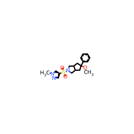 COC1(c2ccccc2)CC2CN(S(=O)(=O)c3cnn(C)c3)CC2C1